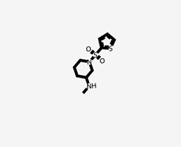 CNC1CCCN(S(=O)(=O)c2cccs2)C1